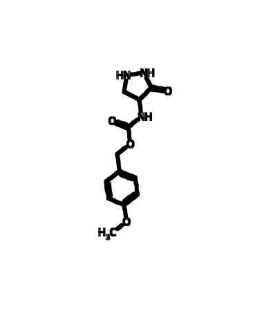 COc1ccc(COC(=O)NC2CNNC2=O)cc1